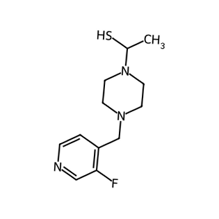 CC(S)N1CCN(Cc2ccncc2F)CC1